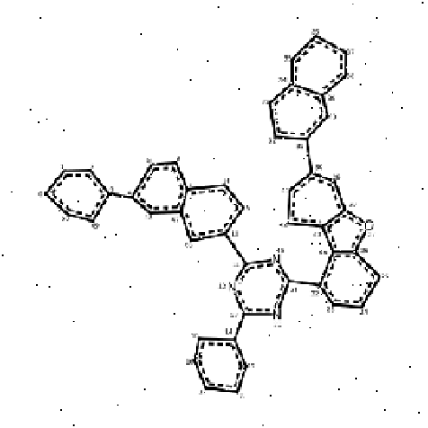 c1ccc(-c2ccc3ccc(-c4nc(-c5ccccc5)nc(-c5cccc6oc7cc(-c8ccc9ccccc9c8)ccc7c56)n4)cc3c2)cc1